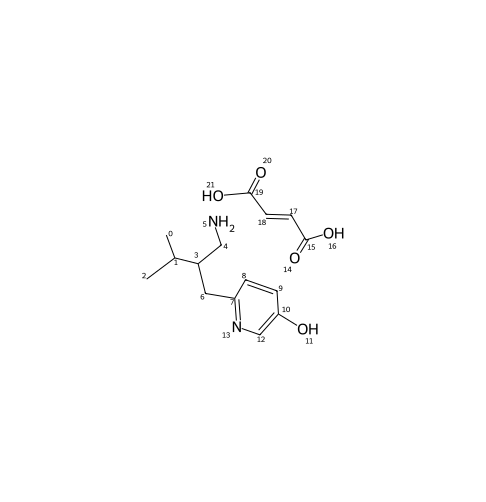 CC(C)C(CN)Cc1ccc(O)cn1.O=C(O)C=CC(=O)O